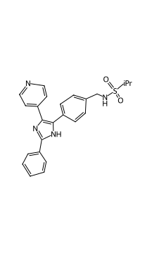 CC(C)S(=O)(=O)NCc1ccc(-c2[nH]c(-c3ccccc3)nc2-c2ccncc2)cc1